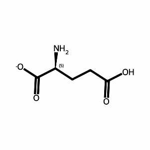 N[C@@H](CCC(=O)O)C([O])=O